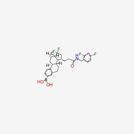 C[C@]12CC[C@@H]3c4ccc(B(O)O)cc4CC[C@H]3[C@@H]1[C@H](CCC(=O)NCc1ccc(F)cc1F)CC2(F)F